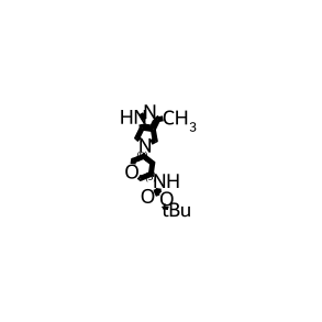 Cc1n[nH]c2c1CN([C@H]1COC[C@@H](NC(=O)OC(C)(C)C)C1)C2